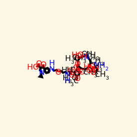 CC[C@H]1OC(=O)[C@H](C)[C@@H](OC2C[C@@](C)(OC)[C@@H](OC(=O)NCCCOCCNc3ccc4c(c3)c(=O)c(C(=O)O)cn4C3CC3)[C@H](C)O2)[C@H](C)[C@@H](O[C@@H]2O[C@H](C)C[C@H](N)[C@H]2O)[C@](C)(O)C[C@@H](C)CN(C)[C@H](C)[C@@H](O)[C@]1(C)O